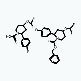 O=C(O)N1CCC(OC(F)F)CC1c1ccc(F)cc1.O=C(OCc1ccccc1)N1CCC(OC(F)F)CC1c1ccc(F)cc1